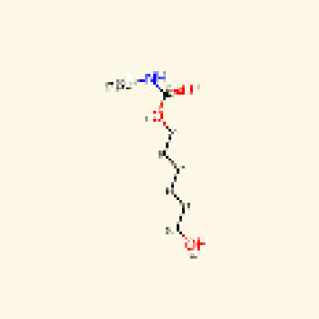 CCCCNC(=O)OCCCCCCO